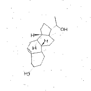 CC(O)[C@H]1CC[C@H]2[C@@H]3CC=C4C[C@@H](O)CC[C@]4(C)[C@H]3CC[C@]12C